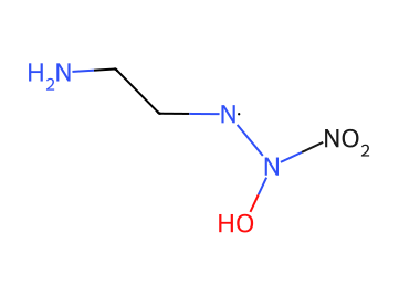 NCC[N]N(O)[N+](=O)[O-]